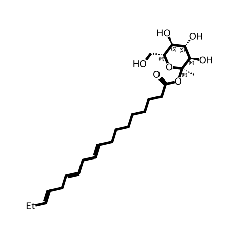 CCC=CCC=CCC=CCCCCCCCC(=O)O[C@@]1(C)O[C@H](CO)[C@@H](O)[C@H](O)[C@H]1O